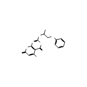 CCc1cc(=O)oc2nc(OC(C)COc3ccccc3)[nH]c(=O)c12